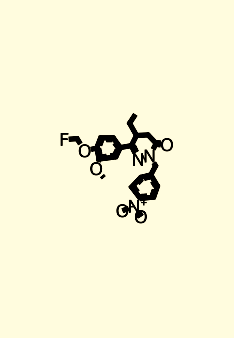 CCC1CC(=O)N(Cc2ccc([N+](=O)[O-])cc2)N=C1c1ccc(OCF)c(OC)c1